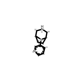 c1cncc(N2C3CCC2CNC3)c1